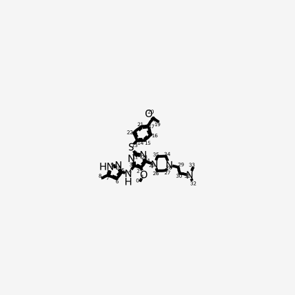 COc1c(Nc2cc(C)[nH]n2)nc(Sc2ccc(C(C)=O)cc2)nc1N1CCN(CCN(C)C)CC1